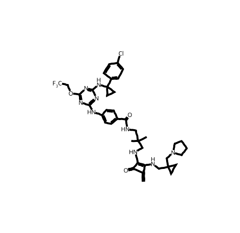 C=C1C(=O)C(NCC(C)(C)CNC(=O)c2ccc(Nc3nc(NC4(c5ccc(Cl)cc5)CC4)nc(OCC(F)(F)F)n3)cc2)=C1NCC1(CN2CCCC2)CC1